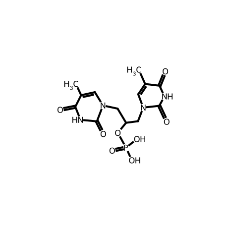 Cc1cn(CC(Cn2cc(C)c(=O)[nH]c2=O)OP(=O)(O)O)c(=O)[nH]c1=O